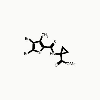 COC(=O)C1(NC(=S)c2sc(Br)c(Br)c2C)CC1